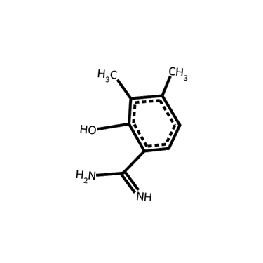 Cc1ccc(C(=N)N)c(O)c1C